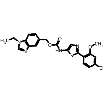 CCn1cnc2cc(COC(=O)Nc3cnc(-c4ccc(Cl)cc4OC)s3)ccc21